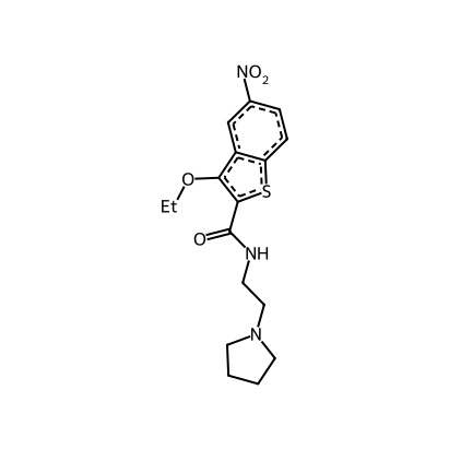 CCOc1c(C(=O)NCCN2CCCC2)sc2ccc([N+](=O)[O-])cc12